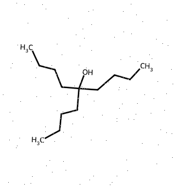 CCCCC(O)(CCCC)CCCC